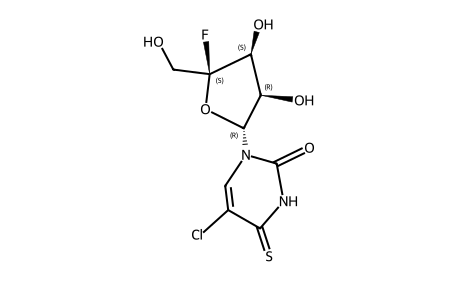 O=c1[nH]c(=S)c(Cl)cn1[C@@H]1O[C@](F)(CO)[C@@H](O)[C@H]1O